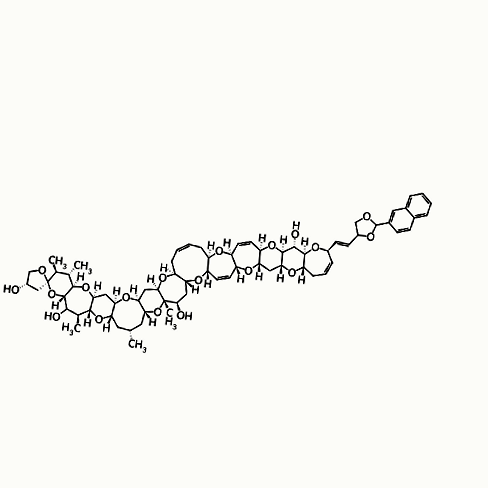 C[C@@H]1C[C@@H]2O[C@H]3[C@H](C[C@H]2O[C@H]2C[C@H]4O[C@H]5C/C=C\C[C@H]6O[C@H]7C=C[C@H]8O[C@H]9[C@H](O)[C@H]%10O[C@@H](/C=C/C%11COC(c%12ccc%13ccccc%13c%12)O%11)C=CC[C@@H]%10O[C@@H]9C[C@@H]8O[C@@H]7C=C[C@@H]6O[C@@H]5C[C@@H](O)[C@]4(C)O[C@@H]2C1)O[C@@H]1[C@@H](C)[C@H](C)[C@@]2(C[C@H](O)CO2)O[C@H]1C(O)[C@@H]3C